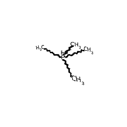 CCCCCCCCCC[PH](CCCCCCC)(CCCCCCCCCC)CCCCCCCCCC